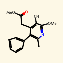 COC(=O)Cc1c(C#N)c(OC)nc(C)c1-c1ccccc1